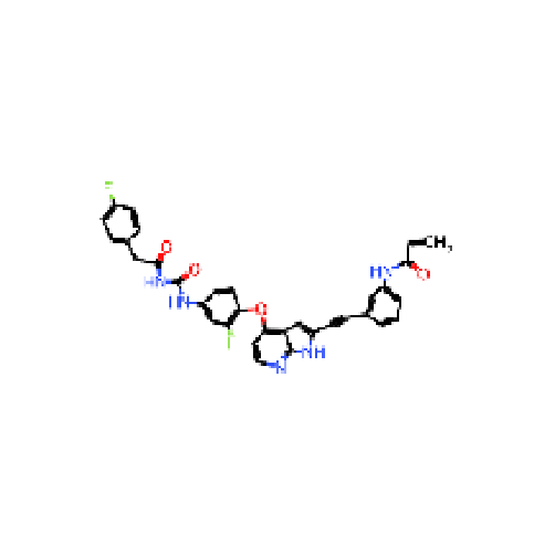 C=CC(=O)Nc1cccc(C#Cc2cc3c(Oc4ccc(NC(=O)NC(=O)Cc5ccc(F)cc5)cc4F)ccnc3[nH]2)c1